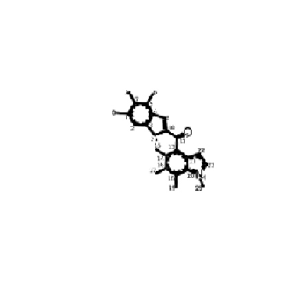 Cc1cc2c(c(C)c1C)C=C(C(=O)c1c(C)c(C)c(C)c3c1ccn3C)C2